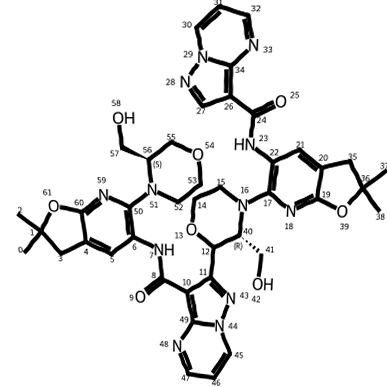 CC1(C)Cc2cc(NC(=O)c3c(C4OCCN(c5nc6c(cc5NC(=O)c5cnn7cccnc57)CC(C)(C)O6)[C@@H]4CO)nn4cccnc34)c(N3CCOC[C@@H]3CO)nc2O1